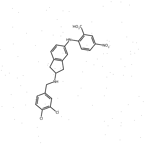 O=C(O)c1cc([N+](=O)[O-])ccc1Nc1ccc2c(c1)CC(NCc1ccc(Cl)c(Cl)c1)C2